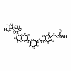 CC(C)(C)OC(=O)n1ccc2cc(-c3cccc(COc4ccc(CCC(=O)O)cc4)c3)ccc21